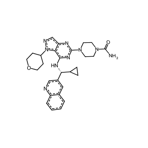 NC(=O)N1CCN(c2nc(N[C@@H](c3cnc4ccccc4c3)C3CC3)c3c(cnn3C3CCOCC3)n2)CC1